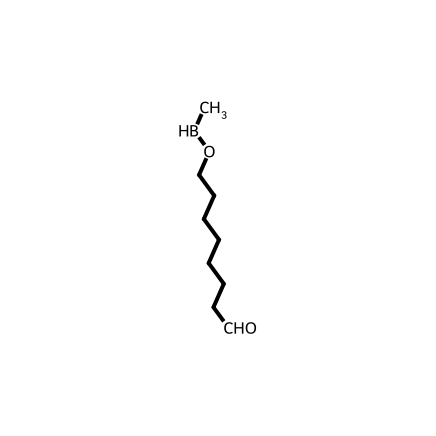 CBOCCCCCCCC=O